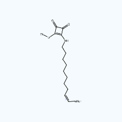 CCCCCCCCC/C=C\CCCCCCCCNc1c(OCC)c(=O)c1=O